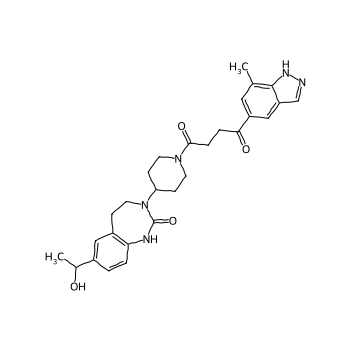 Cc1cc(C(=O)CCC(=O)N2CCC(N3CCc4cc(C(C)O)ccc4NC3=O)CC2)cc2cn[nH]c12